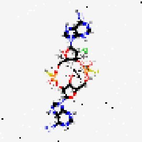 CC(C)(C)[Si](C)(C)OC1[C@H]2OP(=O)(S)OC[C@H]3O[C@@H](n4cnc5c(N)ncnc54)[C@H](Cl)[C@@H]3OP(=O)(S)OC[C@H]1O[C@H]2n1cnc2c(N)ncnc21